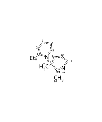 CCc1ccccn1.Cc1cccnc1C